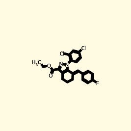 CCOC(=O)c1nn(-c2ccc(Cl)cc2Cl)c2c1CCCC2=Cc1ccc(F)cc1